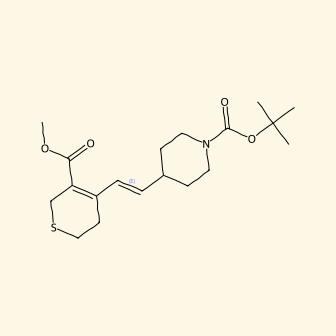 COC(=O)C1=C(/C=C/C2CCN(C(=O)OC(C)(C)C)CC2)CCSC1